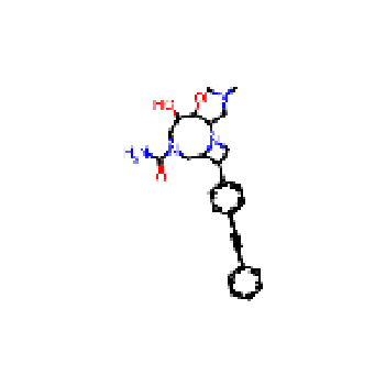 CN(C)CC1C(O)C(O)CN(C(N)=O)CC2C(c3ccc(C#Cc4ccccc4)cc3)CN21